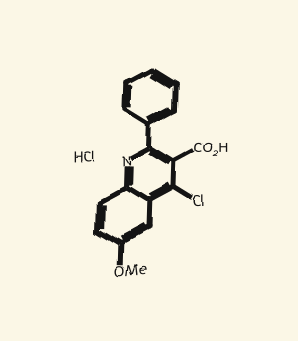 COc1ccc2nc(-c3ccccc3)c(C(=O)O)c(Cl)c2c1.Cl